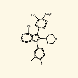 Cc1cc(-n2c(C3CCOCC3)c(-c3ccc(C(=O)O)c(O)c3)c3c(O)cccc32)ccc1F